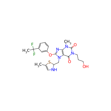 CC1=CNC(Cn2c(Oc3cccc(C(C)(F)F)c3)nc3c2c(=O)n(CCCO)c(=O)n3C)S1